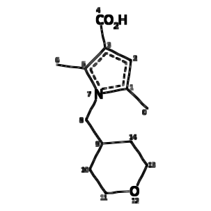 Cc1cc(C(=O)O)c(C)n1CC1CCOCC1